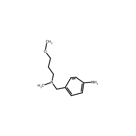 COCCCN(C)Cc1ccc(N)cc1